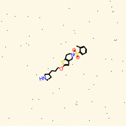 Cc1ccccc1S(=O)(=O)N1CCc2sc(OCCCC3CCNC3)cc2C1